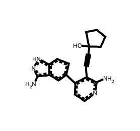 Nc1nccc(-c2ccc3[nH]nc(N)c3c2)c1C#CC1(O)CCCC1